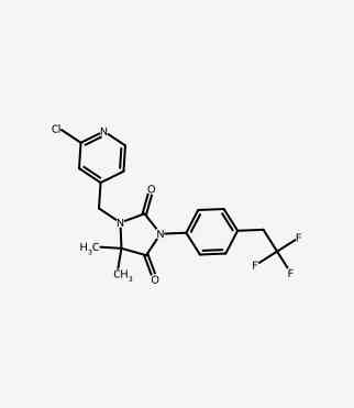 CC1(C)C(=O)N(c2ccc(CC(F)(F)F)cc2)C(=O)N1Cc1ccnc(Cl)c1